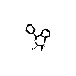 O=C1Nc2ccccc2C(c2ccccc2)=N[C@H]1Cl